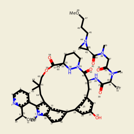 CCn1c(-c2cccnc2[C@H](C)OC)c2c3cc(ccc31)-c1cc(O)cc(c1)C[C@H](NC(=O)[C@H](C(C)C)N(C)C(=O)CN(C)C(=O)[C@H]1CN1CCCOC)C(=O)N1CCC[C@H](N1)C(=O)OCC(C)(C)C2